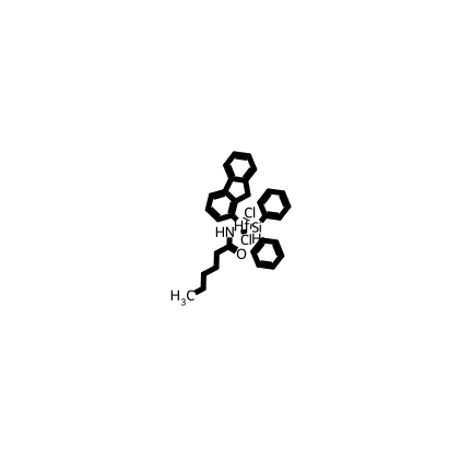 CCCCCC(=O)[NH][Hf]([Cl])([Cl])([c]1cccc2c1Cc1ccccc1-2)[SiH](c1ccccc1)c1ccccc1